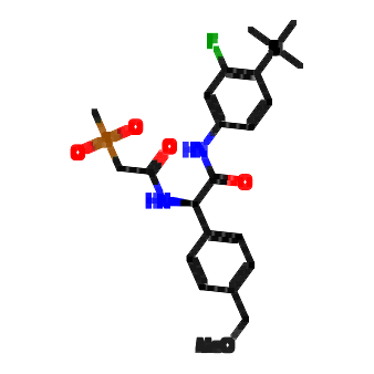 COCc1ccc([C@@H](NC(=O)CS(C)(=O)=O)C(=O)Nc2ccc([Si](C)(C)C)c(F)c2)cc1